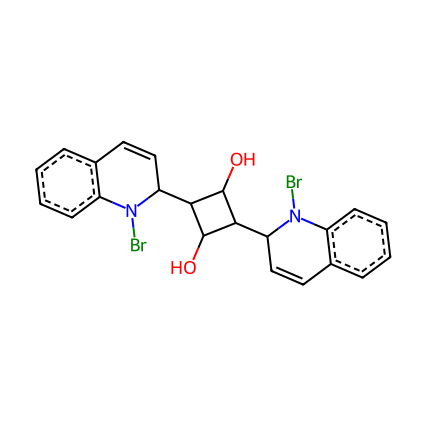 OC1C(C2C=Cc3ccccc3N2Br)C(O)C1C1C=Cc2ccccc2N1Br